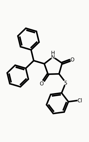 O=C1NC(C(c2ccccc2)c2ccccc2)C(=O)C1Sc1ccccc1Cl